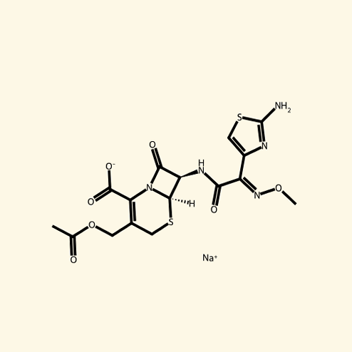 CO/N=C(/C(=O)N[C@@H]1C(=O)N2C(C(=O)[O-])=C(COC(C)=O)CS[C@H]12)c1csc(N)n1.[Na+]